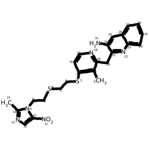 Cc1c(SCCSCCn2c([N+](=O)[O-])cnc2C)ccnc1Cc1nc2ccccc2cc1N